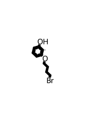 Oc1[c]c(OCCCCBr)ccc1